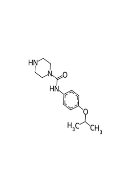 CC(C)Oc1ccc(NC(=O)N2CCNCC2)cc1